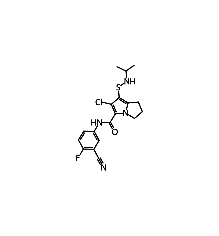 CC(C)NSc1c(Cl)c(C(=O)Nc2ccc(F)c(C#N)c2)n2c1CCC2